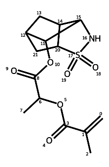 C=C(C)C(=O)OC(C)C(=O)OC1C2CC3C1NS(=O)(=O)C3C2